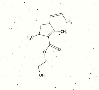 C/C=C\C1CC(C)C(C(=O)OCCO)=C1C